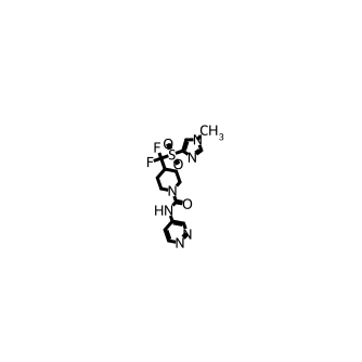 Cn1cnc(S(=O)(=O)C(F)(F)C2CCN(C(=O)Nc3ccnnc3)CC2)c1